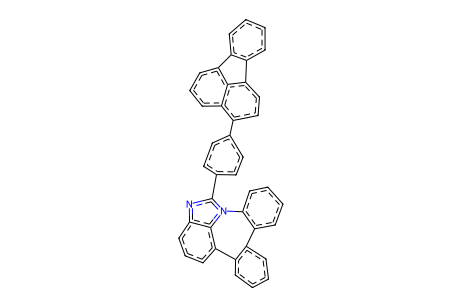 c1ccc2c(c1)-c1ccccc1-n1c(-c3ccc(-c4ccc5c6c(cccc46)-c4ccccc4-5)cc3)nc3cccc-2c31